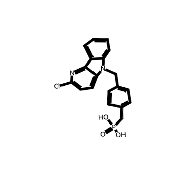 O=P(O)(O)Cc1ccc(Cn2c3ccccc3c3nc(Cl)ccc32)cc1